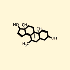 CC1CC2CC(O)C=C[C@]2(C)[C@@H]2CC[C@@]3(C)C(=C12)C=CC3O